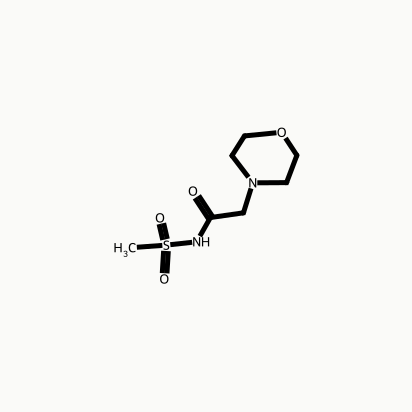 CS(=O)(=O)NC(=O)CN1CCOCC1